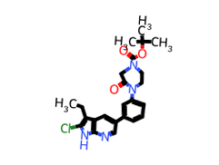 CCc1c(Cl)[nH]c2ncc(-c3cccc(N4CCN(C(=O)OC(C)(C)C)CC4=O)c3)cc12